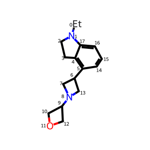 CCN1CCc2c(C3CN(C4COC4)C3)cccc21